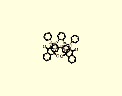 O=c1c2ccccc2c(=O)n2n1[C@@H](c1ccccc1)[P@@](c1ccccc1P1[C@@H](c3ccccc3)n3c(=O)c4ccccc4c(=O)n3[C@@H]1c1ccccc1)[C@H]2c1ccccc1